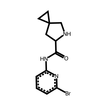 O=C(Nc1cccc(Br)n1)C1CC2(CC2)CN1